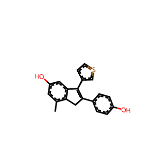 Cc1cc(O)cc2c1CC(c1ccc(O)cc1)=C2c1ccsc1